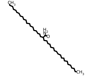 CCCCCCCCCCCCCCCCCCCCC(CCCCCCCCCCCCCCCCCCCC)C(N)=O